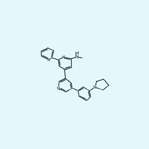 CNc1cc(-c2cncc(-c3cccc(N4CCCC4)c3)c2)cc(-c2ccccn2)n1